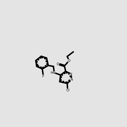 CCOC(=O)c1nnc(Cl)cc1NCc1ccccc1F